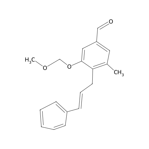 COCOc1cc(C=O)cc(C)c1C/C=C/c1ccccc1